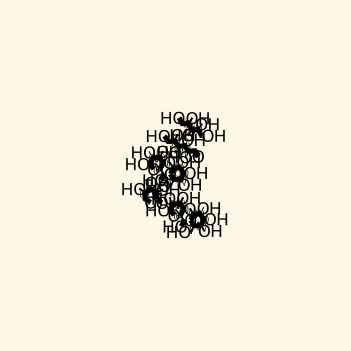 O=C[C@H](O)[C@@H](O)[C@H](O)[C@H](O)CO.OC1OC[C@@H](O)[C@H](O)[C@H]1O.OC[C@@H](O)[C@H](O)[C@@H](O)CO.OC[C@H]1O[C@@H](O[C@H]2[C@H](O)[C@@H](O)[C@H](O)O[C@@H]2CO)[C@H](O)[C@@H](O)[C@@H]1O.OC[C@H]1O[C@@H](O[C@H]2[C@H](O)[C@@H](O)[C@H](O)O[C@@H]2CO)[C@H](O)[C@@H](O)[C@H]1O